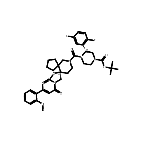 COc1ccccc1-c1cc(=O)n(C[C@]2(OC)CCN(C(=O)N3CCN(C(=O)OC(C)(C)C)C[C@H]3c3cc(F)ccc3F)CC23CCCC3)cn1